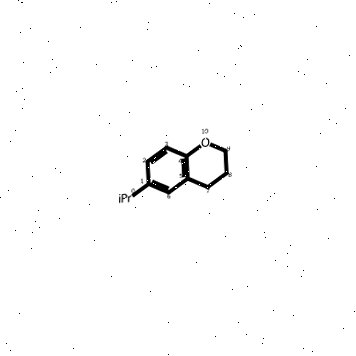 CC(C)c1ccc2c(c1)CCCO2